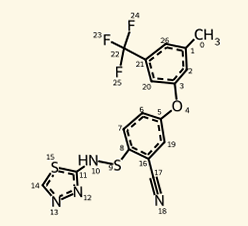 Cc1cc(Oc2ccc(SNc3nncs3)c(C#N)c2)cc(C(F)(F)F)c1